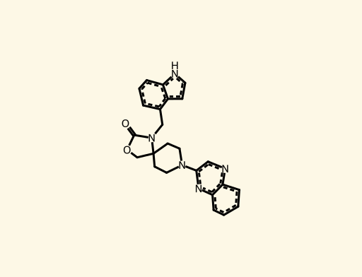 O=C1OCC2(CCN(c3cnc4ccccc4n3)CC2)N1Cc1cccc2[nH]ccc12